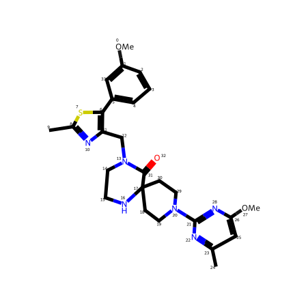 COc1cccc(-c2sc(C)nc2CN2CCNC3(CCN(c4nc(C)cc(OC)n4)CC3)C2=O)c1